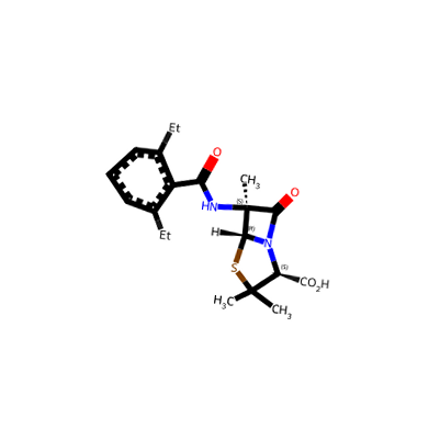 CCc1cccc(CC)c1C(=O)N[C@@]1(C)C(=O)N2[C@@H](C(=O)O)C(C)(C)S[C@@H]21